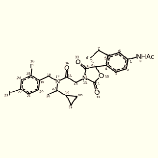 CC(=O)Nc1ccc2c(c1)CC[C@@]21OC(=O)N(CC(=O)N(Cc2ccc(F)cc2F)C(C)C2CC2)C1=O